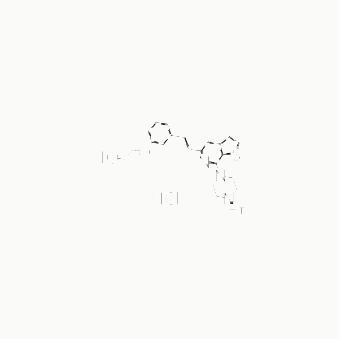 CCN1CCN(c2nc(C=Cc3cccc(OCCO)c3)cc3ccsc23)CC1.Cl